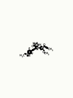 CC#CC(=O)N1C[C@@H](n2nc(C#Cc3c(F)cc4c(ncn4CC)c3F)c(C(N)=O)c2NC)C[C@@H]1COC